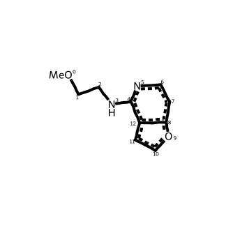 COCCNc1nccc2occc12